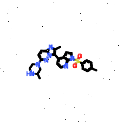 Cc1ccc(S(=O)(=O)n2ccc3c(-c4c(C)nc5ccc(N6CCNC(C)C6)nn45)ccnc32)cc1